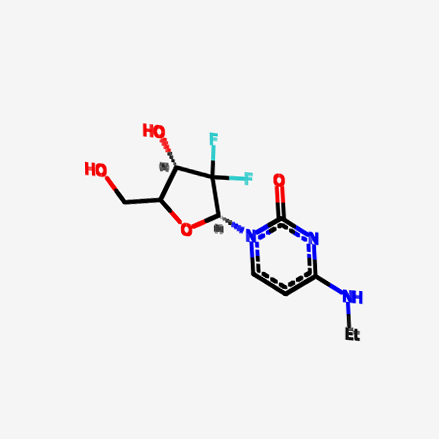 CCNc1ccn([C@@H]2OC(CO)[C@H](O)C2(F)F)c(=O)n1